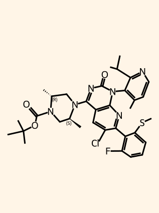 CSc1cccc(F)c1-c1nc2c(cc1Cl)c(N1C[C@@H](C)N(C(=O)OC(C)(C)C)C[C@@H]1C)nc(=O)n2-c1c(C)ccnc1C(C)C